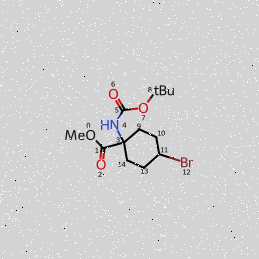 COC(=O)C1(NC(=O)OC(C)(C)C)CCC(Br)CC1